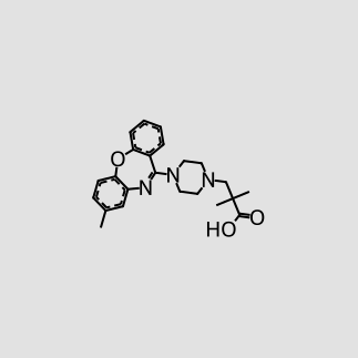 Cc1ccc2c(c1)N=C(N1CCN(CC(C)(C)C(=O)O)CC1)c1ccccc1O2